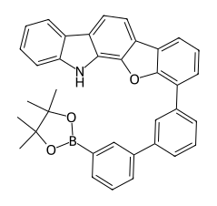 CC1(C)OB(c2cccc(-c3cccc(-c4cccc5c4oc4c5ccc5c6ccccc6[nH]c54)c3)c2)OC1(C)C